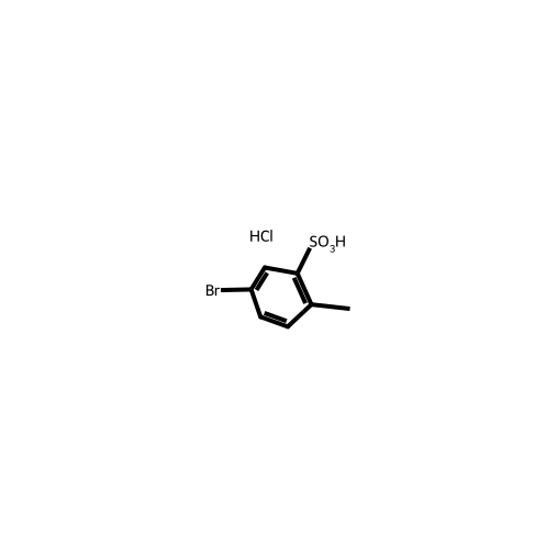 Cc1ccc(Br)cc1S(=O)(=O)O.Cl